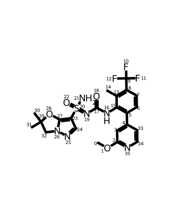 COc1cc(-c2ccc(C(F)(F)F)c(C)c2NC(=O)N=S(N)(=O)c2cnn3c2OC(C)(C)C3)ccn1